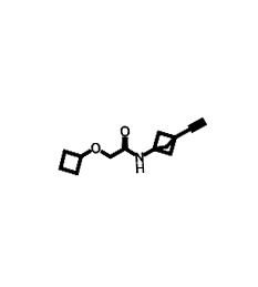 C#CC12CC(NC(=O)COC3CCC3)(C1)C2